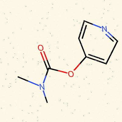 CN(C)C(=O)Oc1ccncc1